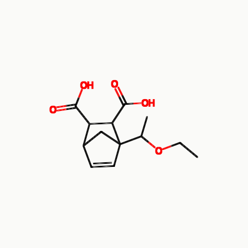 CCOC(C)C12C=CC(C1)C(C(=O)O)C2C(=O)O